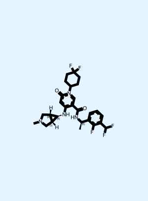 C[C@@H](NC(=O)c1cn(C2CCC(F)(F)CC2)c(=O)cc1N[C@@H]1[C@@H]2CN(C)C[C@@H]21)c1cccc(C(F)F)c1F